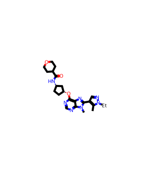 CCn1ncc(-c2nc3c(O[C@@H]4CC[C@H](NC(=O)C5CCOCC5)C4)ncnc3n2C)c1C